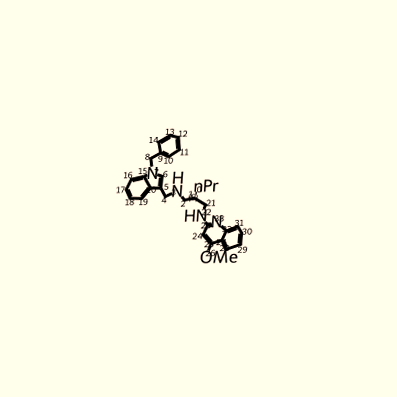 CCC[C@@H](CNCc1cn(Cc2ccccc2)c2ccccc12)CNc1cc(OC)c2ccccc2n1